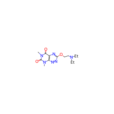 CCN(CC)CCOc1nnc2c(n1)c(=O)n(C)c(=O)n2C